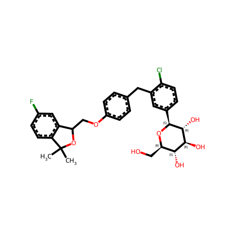 CC1(C)OC(COc2ccc(Cc3cc([C@@H]4O[C@H](CO)[C@@H](O)[C@H](O)[C@H]4O)ccc3Cl)cc2)c2cc(F)ccc21